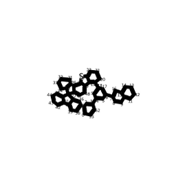 c1ccc(-c2cc(-c3ccc4ccccc4c3)cc(-c3cccc4sc5cc(C6(c7ccccc7)c7ccccc7-c7ccccc76)ccc5c34)c2)cc1